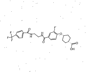 O=C(NCCNC(=O)c1ccc(O[C@H]2CC[C@@H](C(=O)O)CC2)c(F)c1)c1ccc(C(F)(F)F)cc1